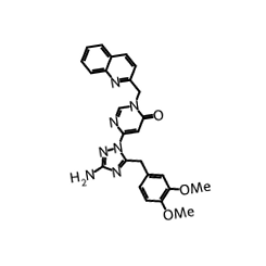 COc1ccc(Cc2nc(N)nn2-c2cc(=O)n(Cc3ccc4ccccc4n3)cn2)cc1OC